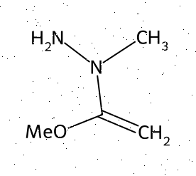 C=C(OC)N(C)N